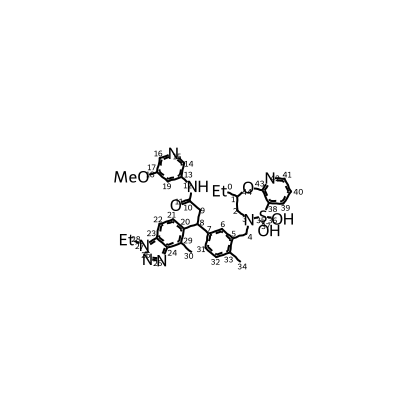 CCC1CN(Cc2cc(C(CC(=O)Nc3cncc(OC)c3)c3ccc4c(nnn4CC)c3C)ccc2C)S(O)(O)c2cccnc2O1